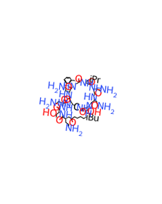 CCC(C)CCCCC(=O)C[C@@H](CCN)C(=O)N[C@H](C(=O)N[C@@H](CCN)C(=O)N[C@H]1CCNC(=O)[C@H](C(C)O)NC(=O)[C@H](CCN)NC(=O)[C@H](CCN)NC(=O)[C@H](CC(C)C)NC(=O)[C@@H](Cc2ccccc2)NC(=O)[C@H](CCN)NC1=O)C(C)O